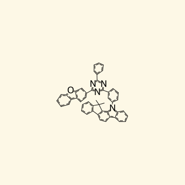 CC1(C)c2ccccc2-c2ccc3c4ccccc4n(-c4cccc(-c5nc(-c6ccccc6)nc(-c6ccc7c(c6)oc6ccccc67)n5)c4)c3c21